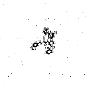 O=C(CC1CN(C(=O)NC2CCCCC2)CCN1c1cc(Cl)nc(-n2ccnc2)n1)NCCc1ccc2c(c1)OCO2